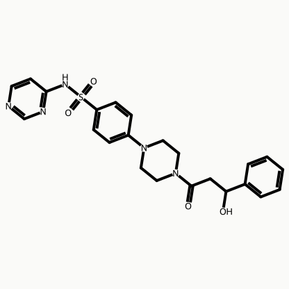 O=C(CC(O)c1ccccc1)N1CCN(c2ccc(S(=O)(=O)Nc3ccncn3)cc2)CC1